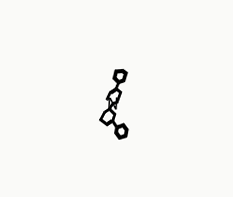 C1=C(c2ccccc2)CCN(C2CCC=C(c3ccccc3)C2)C1